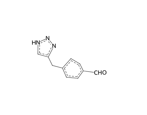 O=Cc1ccc(Cc2c[nH]nn2)cc1